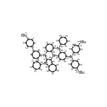 CC(C)(C)c1ccc(-c2cccc(N3c4cccc5c4B(c4ccc(N(c6ccc(C(C)(C)C)cc6)c6ccc(C(C)(C)C)nc6)cc4N5c4ccccc4)c4c3n(-c3ccccc3)c3ccccc43)c2)cc1